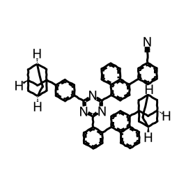 N#Cc1cccc(-c2ccc(-c3nc(-c4ccc(C56C[C@H]7C[C@@H](C5)C[C@@H](C6)C7)cc4)nc(-c4ccccc4-c4ccc(C56C[C@H]7C[C@H](C5)C[C@@H](C6)C7)c5ccccc45)n3)c3ccccc23)c1